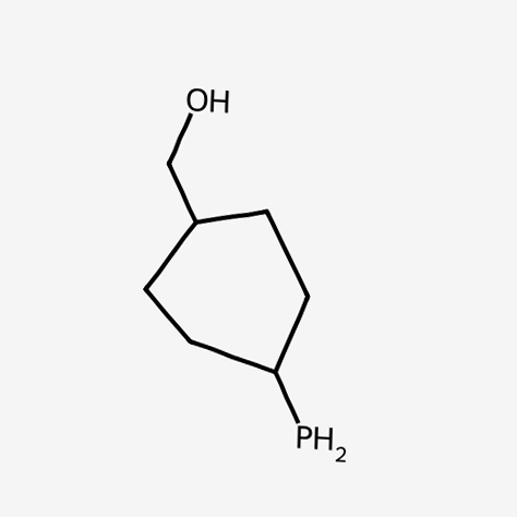 OCC1CCC(P)CC1